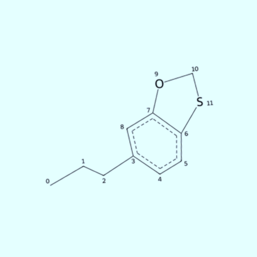 CCCc1ccc2c(c1)OCS2